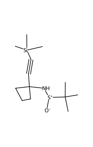 CC(C)(C)[S+]([O-])NC1(C#C[Si](C)(C)C)CCC1